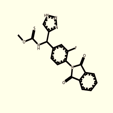 COC(=S)NC(c1ccc(N2C(=O)c3ccccc3C2=O)c(F)c1)c1c[nH]nn1